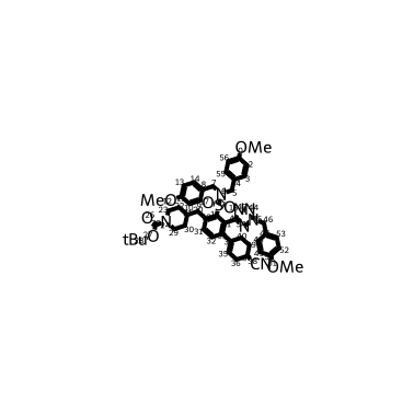 COc1ccc(CN(Cc2ccc(OC)cc2)S(=O)(=O)c2c(CC3CCN(C(=O)OC(C)(C)C)CC3)ccc(C3=CCC(C#N)CC3)c2-c2nnn(Cc3ccc(OC)cc3)n2)cc1